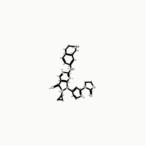 O=C1OCCN1c1cc(-n2c3nc(Nc4ccc5c(c4)CNCC5)ncc3c(=O)n2C2CC2)ccn1